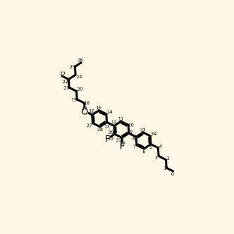 CCCCCc1ccc(-c2ccc(-c3ccc(OCCCCC(C)CCC)cc3)c(F)c2F)cc1